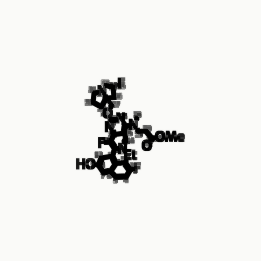 CCc1c(F)ccc2cc(O)cc(-c3ncc4c(N(C)CCC(=O)OC)nc(OC[C@@]56CCCN5C[C@H](F)C6)nc4c3F)c12